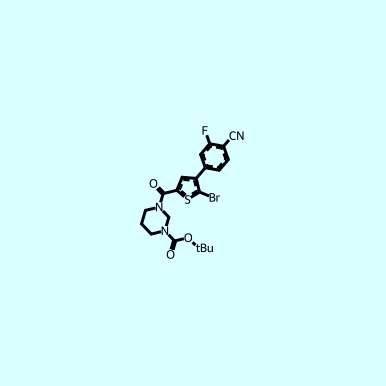 CC(C)(C)OC(=O)N1CCCN(C(=O)c2cc(-c3ccc(C#N)c(F)c3)c(Br)s2)C1